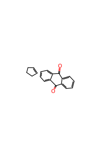 C1=CCCC1.O=C1c2ccccc2C(=O)c2ccccc21